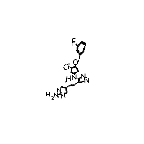 Nc1ncc(C=Cc2cncnc2Nc2ccc(OCc3cccc(F)c3)c(Cl)c2)cn1